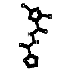 O=C(NNC(=O)c1cc(Cl)sc1Cl)c1ccco1